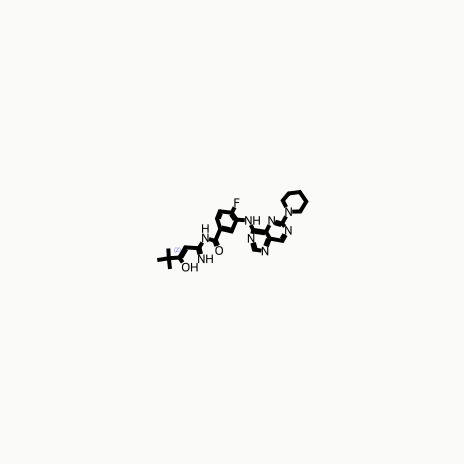 CC(C)(C)/C(O)=C/C(=N)NC(=O)c1ccc(F)c(Nc2ncnc3cnc(N4CCCCC4)nc23)c1